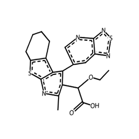 CCOC(C(=O)O)c1c(C)nc2sc3c(c2c1-c1cnc2nsnc2c1)CCCC3